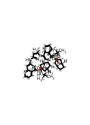 C=C(OC(C)(C)C)N1[C@@H]2CC[C@H]1C[C@H](Nc1nc(Nc3cc(C)n(-c4cnc(N[C@@H]5C[C@H]6CC[C@@H](C5)N6C(=O)OC(C)(C)C)c5cccnc45)n3)cc3ncccc13)C2